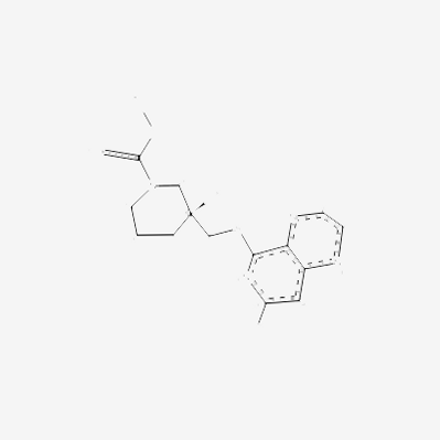 CC(C)(C)OC(=O)N1CCC[C@@](F)(CNc2nc(Cl)cc3nccnc23)C1